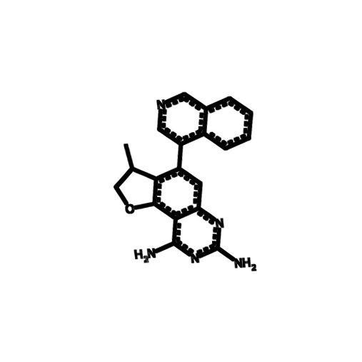 CC1COc2c1c(-c1cncc3ccccc13)cc1nc(N)nc(N)c21